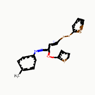 Cc1ccc(/N=C(/C=C/SSc2cccs2)Oc2cccs2)cc1